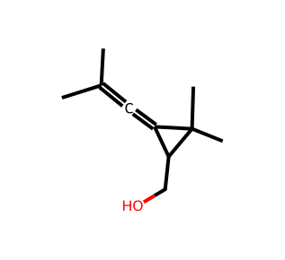 CC(C)=C=C1C(CO)C1(C)C